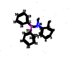 Cc1cccc(C(C)C)c1N(C)P(c1ccccc1)c1ccccc1